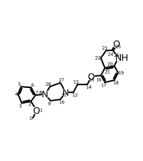 COc1ccccc1N1CCN(CCCOc2cccc3c2CCC(=O)N3)CC1